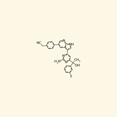 CC(O)(c1cccc(F)c1)c1cc(-c2c[nH]c3ncc(-c4ccc(CC#N)cc4)cc23)nc(N)n1